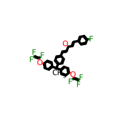 CC(c1ccc(C=CC(=O)C=Cc2ccc(F)cc2)cc1)(c1ccc(OC(F)=C(F)F)cc1)c1ccc(OC(F)=C(F)F)cc1